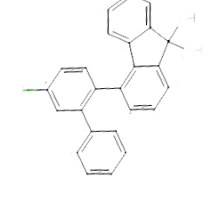 CC1(C)c2ccccc2-c2c(-c3ccc(Cl)cc3-c3ccccc3)cccc21